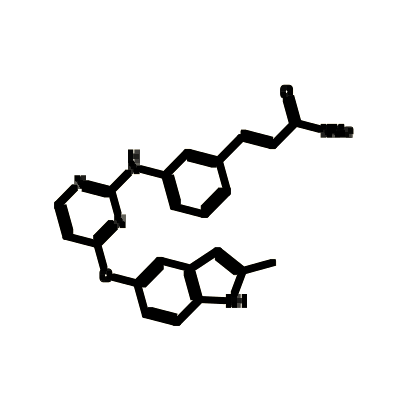 CNC(=O)C=Cc1cccc(Nc2nccc(Oc3ccc4[nH]c(C)cc4c3)n2)c1